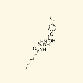 CCCCCCCC(=O)NC(=S)NNC(O)COc1ccc(C(C)CC)cc1